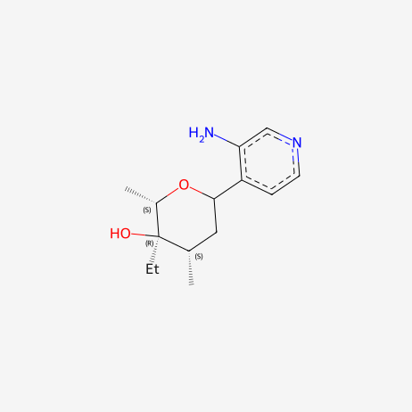 CC[C@]1(O)[C@H](C)OC(c2ccncc2N)C[C@@H]1C